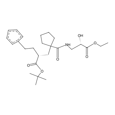 CCOC(=O)[C@@H](O)CNC(=O)C1(C[C@@H](CCc2ccccc2)C(=O)OC(C)(C)C)CCCC1